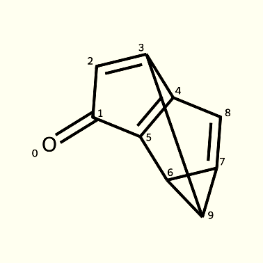 O=C1C=C2C3=C1C1C(=C3)C21